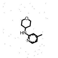 Cc1ccnc(NC2CCOCC2)c1